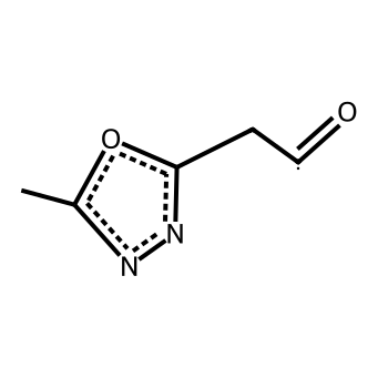 Cc1nnc(C[C]=O)o1